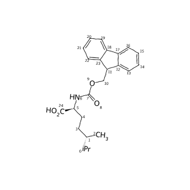 CC(C)[C@@H](C)CC[C@H](NC(=O)OCC1c2ccccc2-c2ccccc21)C(=O)O